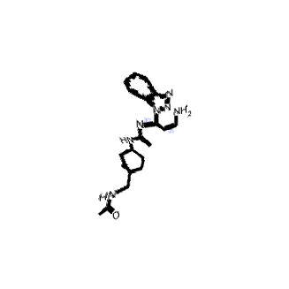 C=C(/N=C(\C=C/N)n1nnc2ccccc21)NC1CCC(CNC(C)=O)CC1